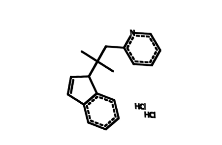 CC(C)(Cc1ccccn1)C1C=Cc2ccccc21.Cl.Cl